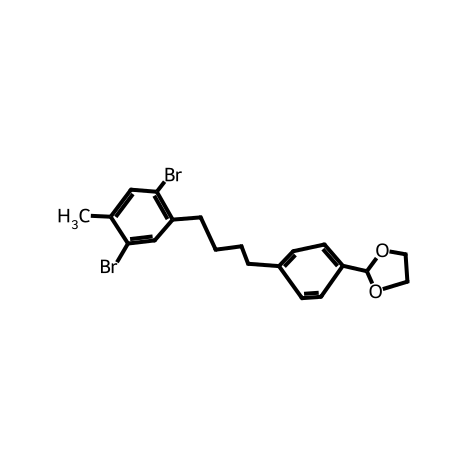 Cc1cc(Br)c(CCCCc2ccc(C3OCCO3)cc2)cc1Br